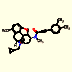 CC(=O)Oc1ccc2c3c1C[C@@H]1[C@@H]4CC[C@@H](N(C)C(=O)C#Cc5ccc(C)c(C)c5)[C@H](O2)[C@]34CCN1CC1CC1